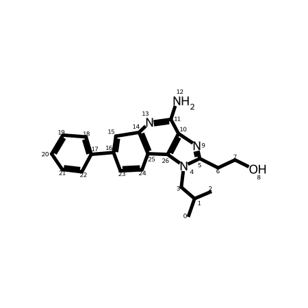 CC(C)Cn1c(CCO)nc2c(N)nc3cc(-c4ccccc4)ccc3c21